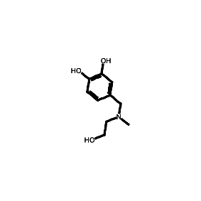 CN(CCO)Cc1ccc(O)c(O)c1